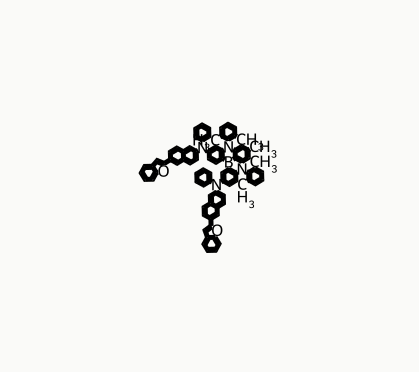 Cc1cc2c3c(c1)N(c1c(C)cccc1C)c1cc(N(c4ccccc4)c4ccc5cc(-c6cc7ccccc7o6)ccc5c4)ccc1B3c1cc(N(c3ccccc3)c3ccc4cc(-c5cc6ccccc6o5)ccc4c3)ccc1N2c1c(C)cccc1C